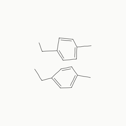 CCc1ccc(C)cc1.CCc1ccc(C)cc1